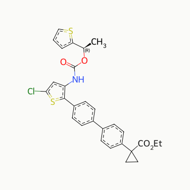 CCOC(=O)C1(c2ccc(-c3ccc(-c4sc(Cl)cc4NC(=O)O[C@H](C)c4cccs4)cc3)cc2)CC1